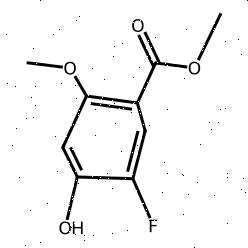 COC(=O)c1cc(F)c(O)cc1OC